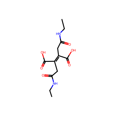 CCNC(=O)CC(C(=O)O)=C(CC(=O)NCC)C(=O)O